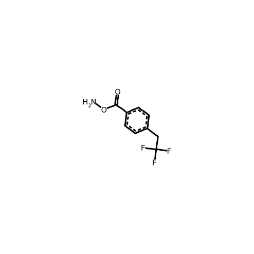 NOC(=O)c1ccc(CC(F)(F)F)cc1